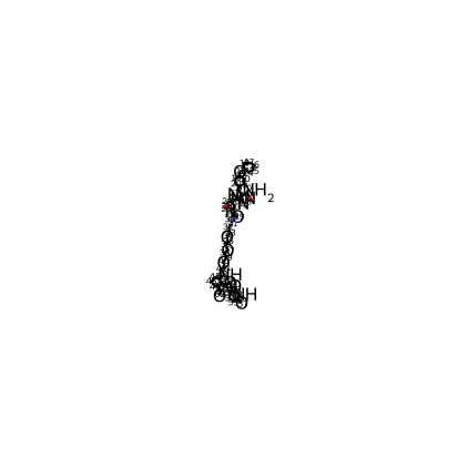 Nc1ncnc2c1c(-c1ccc(Oc3ccccc3)cc1)nn2C1CCCN(C(=O)/C=C/CCOCCOCCOCCNc2cccc3c2C(=O)N(C2CCC(=O)NC2=O)C3=O)C1